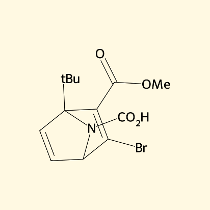 COC(=O)C1=C(Br)C2C=CC1(C(C)(C)C)N2C(=O)O